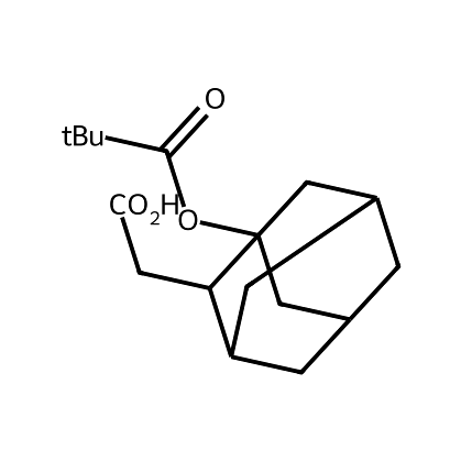 CC(C)(C)C(=O)OC12CC3CC(CC(C3)C1CC(=O)O)C2